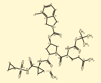 C=C[C@@H]1C[C@]1(NC(=O)[C@@H]1C[C@@H](OC(=O)N2Cc3cccc(F)c3C2)CN1C(=O)[C@H](CCC(C)=O)NC(=O)OC(C)(C)C)C(=O)NS(=O)(=O)C1CC1